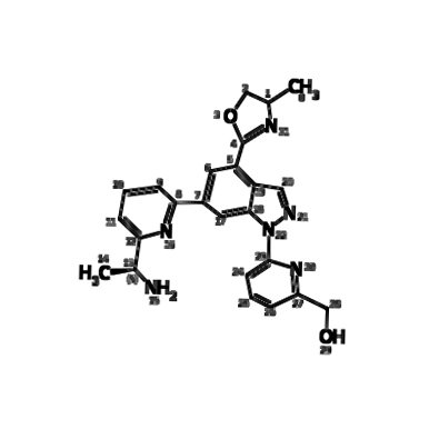 CC1COC(c2cc(-c3cccc([C@H](C)N)n3)cc3c2cnn3-c2cccc(CO)n2)=N1